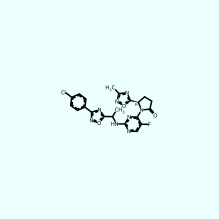 Cc1noc([C@H]2CCC(=O)N2c2nc(NC(C)c3nc(-c4ccc(Cl)cc4)no3)ncc2F)n1